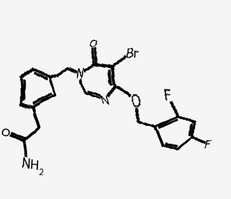 NC(=O)Cc1cccc(Cn2cnc(OCc3ccc(F)cc3F)c(Br)c2=O)c1